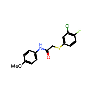 COc1ccc(NC(=O)CSc2ccc(F)c(Cl)c2)cc1